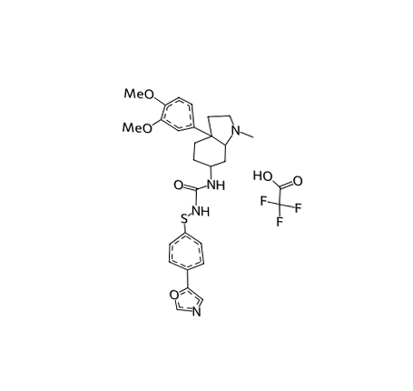 COc1ccc(C23CCC(NC(=O)NSc4ccc(-c5cnco5)cc4)CC2N(C)CC3)cc1OC.O=C(O)C(F)(F)F